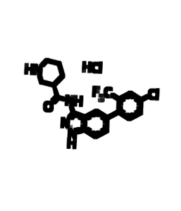 Cl.O=C(Nc1n[nH]c2ccc(-c3ccc(Cl)cc3C(F)(F)F)cc12)[C@@H]1CCCNC1